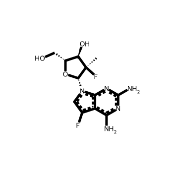 C[C@@]1(F)[C@H](O)[C@@H](CO)O[C@H]1n1cc(F)c2c(N)nc(N)nc21